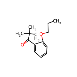 CCCOc1ccccc1C(=O)C(C)(C)C